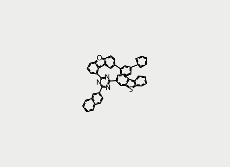 c1ccc(-c2cccc(-c3ccc4oc5cccc(-c6nc(-c7ccc8ccccc8c7)nc(-c7ccc8c(c7)sc7ccccc78)n6)c5c4c3)c2)cc1